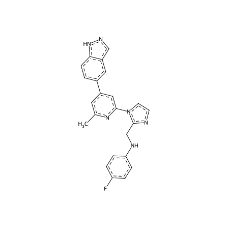 Cc1cc(-c2ccc3[nH]ncc3c2)cc(-n2ccnc2CNc2ccc(F)cc2)n1